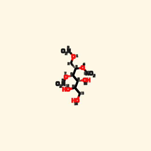 O=[N+]([O-])OC[C@H](O[N+](=O)[O-])[C@@H](O[N+](=O)[O-])[C@H](O)[C@H](O)CO